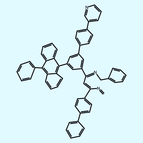 C=N/C(=C\C(=N/Cc1ccccc1)c1cc(-c2ccc(-c3cccnc3)cc2)cc(-c2c3ccccc3c(-c3ccccc3)c3ccccc23)c1)c1ccc(-c2ccccc2)cc1